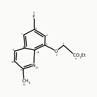 CCOC(=O)COc1cc(F)cc2ccc(C)nc12